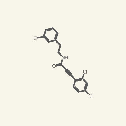 O=C(C#Cc1ccc(Cl)cc1Cl)NCCc1cccc(Cl)c1